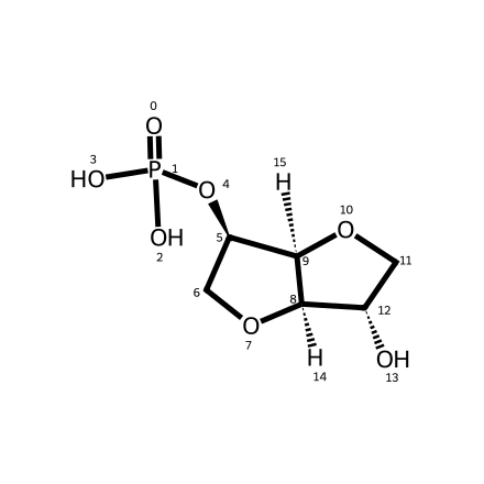 O=P(O)(O)O[C@@H]1CO[C@H]2[C@@H]1OC[C@@H]2O